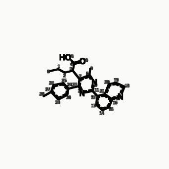 CCCC(C(=O)O)c1c(C)nc(-c2cccc3ncccc23)nc1-c1ccc(C)cc1